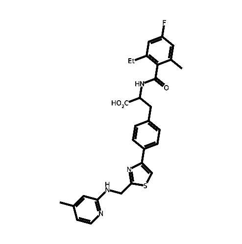 CCc1cc(F)cc(C)c1C(=O)NC(Cc1ccc(-c2csc(CNc3cc(C)ccn3)n2)cc1)C(=O)O